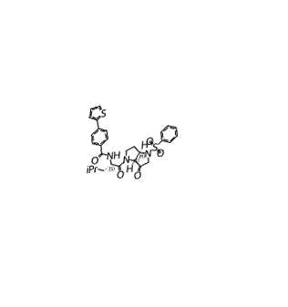 CC(C)C[C@H](NC(=O)c1ccc(-c2cccs2)cc1)C(=O)N1CC[C@@H]2[C@H]1C(=O)CN2S(=O)(=O)c1ccccc1